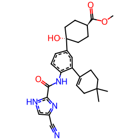 COC(=O)[C@H]1CC[C@@](O)(c2ccc(NC(=O)c3nc(C#N)c[nH]3)c(C3=CCC(C)(C)CC3)c2)CC1